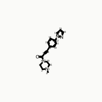 CN1CCN(C(=O)C#Cc2ccc(-n3cccn3)cc2)CC1